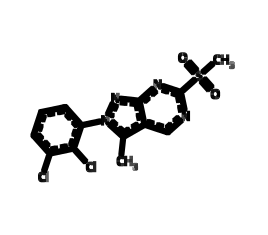 Cc1c2cnc(S(C)(=O)=O)nc2nn1-c1cccc(Cl)c1Cl